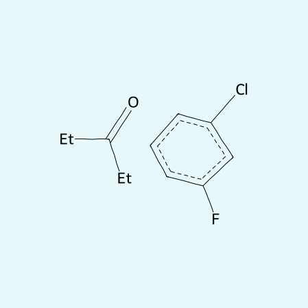 CCC(=O)CC.Fc1cccc(Cl)c1